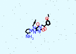 CC#CCn1c(N2CCCC(N)C2)nc2c1c(=O)n(CC(=O)c1cccc(OCC)c1)c(=O)n2C